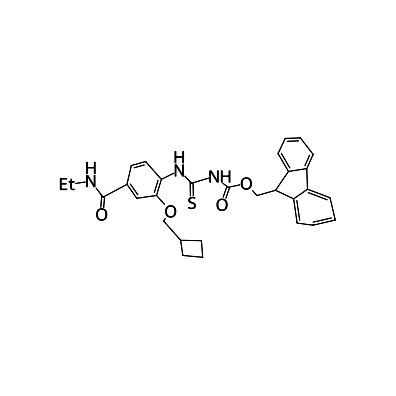 CCNC(=O)c1ccc(NC(=S)NC(=O)OCC2c3ccccc3-c3ccccc32)c(OCC2CCC2)c1